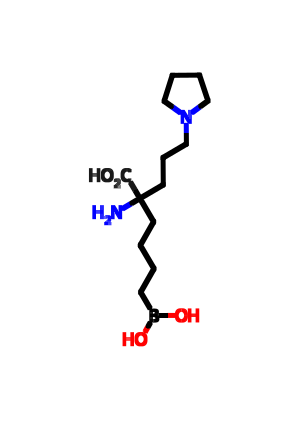 NC(CCCCB(O)O)(CCCN1CCCC1)C(=O)O